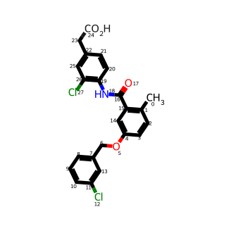 Cc1ccc(OCc2cccc(Cl)c2)cc1C(=O)Nc1ccc(CC(=O)O)cc1Cl